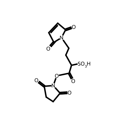 O=C(ON1C(=O)CCC1=O)C(CCN1C(=O)C=CC1=O)S(=O)(=O)O